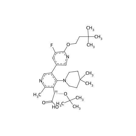 Cc1ncc(-c2cnc(OCCC(C)(C)C)c(F)c2)c(N2CCC(C)(C)CC2)c1[C@H](OC(C)(C)C)C(=O)O